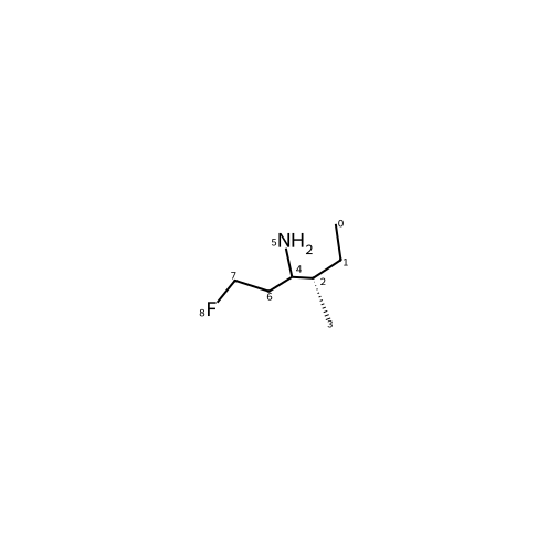 CC[C@H](C)C(N)CCF